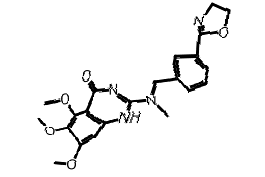 COc1cc2[nH]c(N(C)Cc3cccc(C4=NCCO4)c3)nc(=O)c2c(OC)c1OC